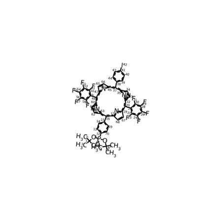 CC(C)(C)OP(=O)(OC(C)(C)C)c1ccc(-c2c3nc(c(-c4c(F)c(F)c(F)c(F)c4F)c4ccc([nH]4)c(-c4ccc(I)cc4)c4nc(c(-c5c(F)c(F)c(F)c(F)c5F)c5ccc2[nH]5)C=C4)C=C3)cc1